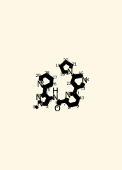 Cn1cc(NC(=O)c2cccc(-c3cncc(N4CCCC4)c3)n2)c(-c2ccccn2)n1